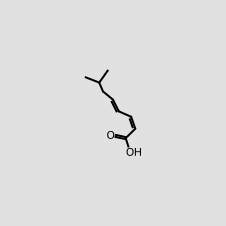 CC(C)C/C=C/C=C\C(=O)O